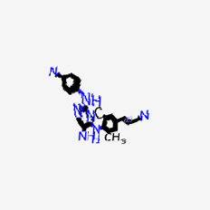 Cc1cc(/C=C/C#N)cc(C)c1Nc1nc(Nc2ccc(C#N)cc2)ncc1N